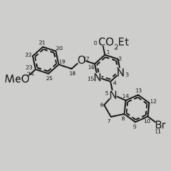 CCOC(=O)c1cnc(N2CCc3cc(Br)ccc32)nc1OCc1cccc(OC)c1